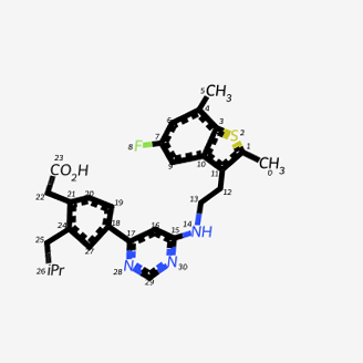 Cc1sc2c(C)cc(F)cc2c1CCNc1cc(-c2ccc(CC(=O)O)c(CC(C)C)c2)ncn1